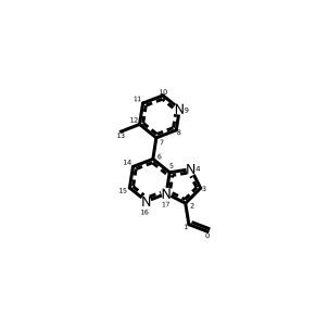 C=Cc1cnc2c(-c3cnccc3C)ccnn12